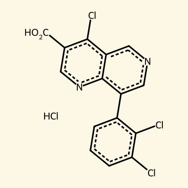 Cl.O=C(O)c1cnc2c(-c3cccc(Cl)c3Cl)cncc2c1Cl